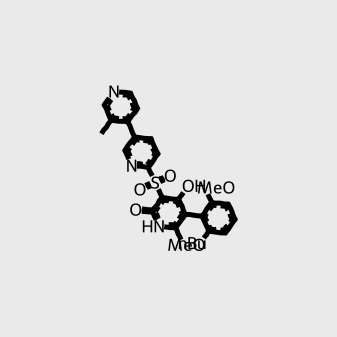 CCCCc1[nH]c(=O)c(S(=O)(=O)c2ccc(-c3ccncc3C)cn2)c(O)c1-c1c(OC)cccc1OC